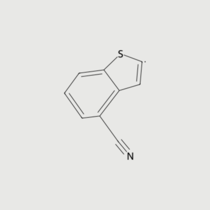 N#Cc1cccc2s[c]cc12